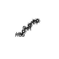 O=C(NO)c1ccc(C(=O)NCCN2CCC(CNC3CC3c3ccccc3)CC2)cc1